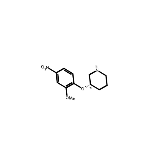 COc1cc([N+](=O)[O-])ccc1O[C@H]1CCCNC1